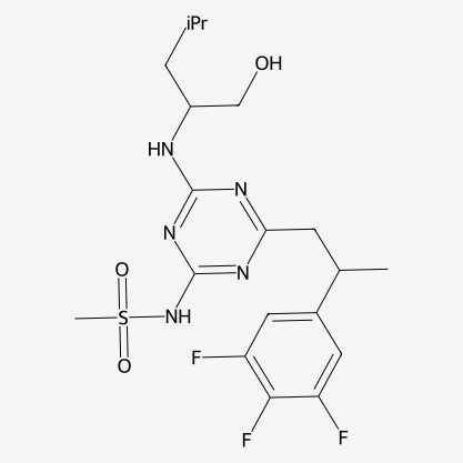 CC(C)CC(CO)Nc1nc(CC(C)c2cc(F)c(F)c(F)c2)nc(NS(C)(=O)=O)n1